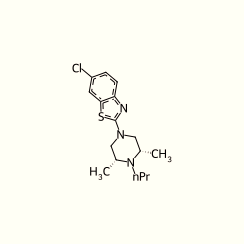 CCCN1[C@H](C)CN(c2nc3ccc(Cl)cc3s2)C[C@@H]1C